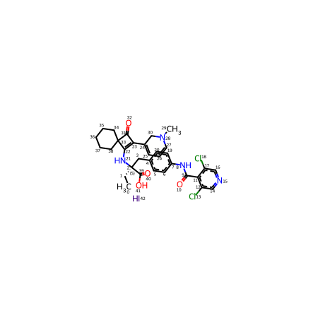 CC[C@@](Cc1ccc(NC(=O)c2c(Cl)cncc2Cl)cc1)(NC1=C(C2=CC=CN(C)C2)C(=O)C12CCCCC2)C(=O)O.I